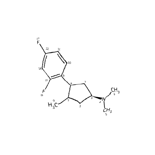 CC1C[C@H](N(C)C)CC1c1ccc(F)cc1F